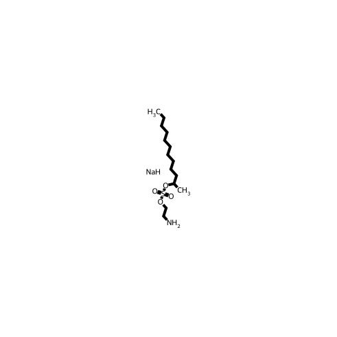 CCCCCCCCCCC(C)OS(=O)(=O)OCCN.[NaH]